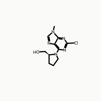 Cn1cnc2c(N3CCC[C@H]3CO)nc(Cl)nc21